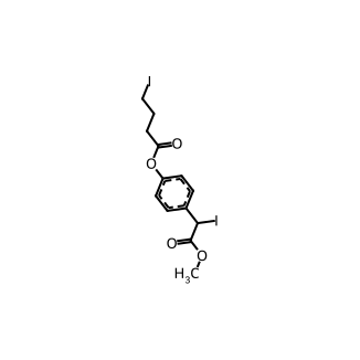 COC(=O)C(I)c1ccc(OC(=O)CCCI)cc1